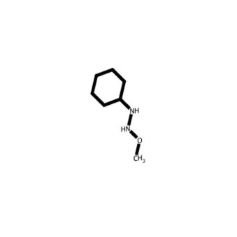 CONNC1CCCCC1